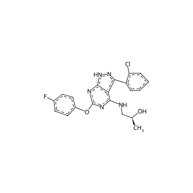 C[C@H](O)CNc1nc(Oc2ccc(F)cc2)nc2[nH]nc(-c3ccccc3Cl)c12